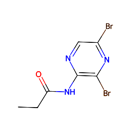 CCC(=O)Nc1ncc(Br)nc1Br